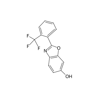 Oc1ccc2nc(-c3ccccc3C(F)(F)F)oc2c1